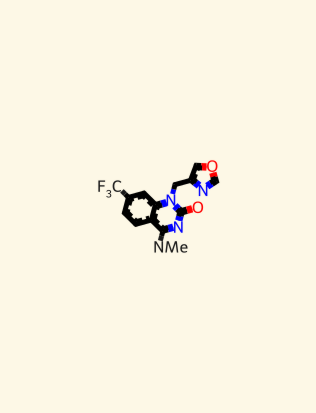 CNc1nc(=O)n(Cc2cocn2)c2cc(C(F)(F)F)ccc12